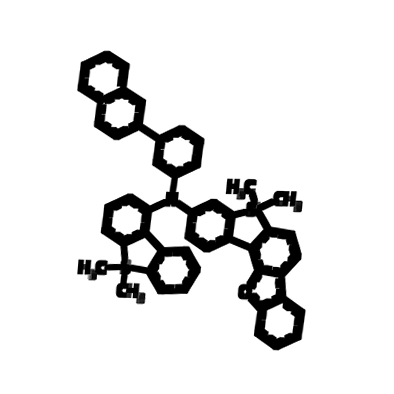 C[Si]1(C)c2cc(N(c3cccc(-c4ccc5ccccc5c4)c3)c3cccc4c3-c3ccccc3S4(C)C)ccc2-c2c1ccc1c2oc2ccccc21